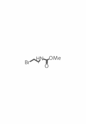 COC(=O)N[CH]CBr